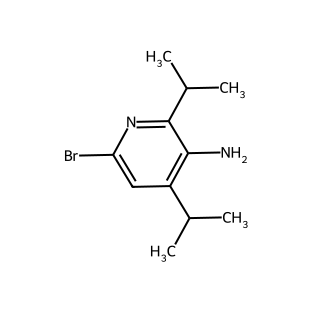 CC(C)c1cc(Br)nc(C(C)C)c1N